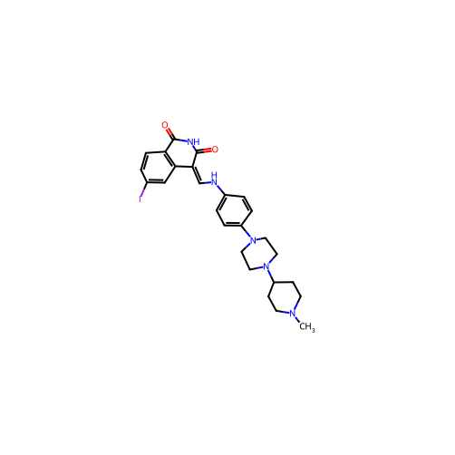 CN1CCC(N2CCN(c3ccc(NC=C4C(=O)NC(=O)c5ccc(I)cc54)cc3)CC2)CC1